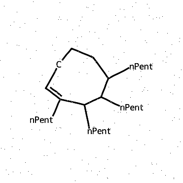 CCCCCC1=CCCCC(CCCCC)C(CCCCC)C1CCCCC